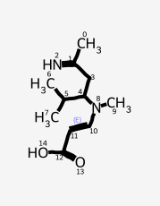 CC(=N)CC(C(C)C)N(C)/C=C/C(=O)O